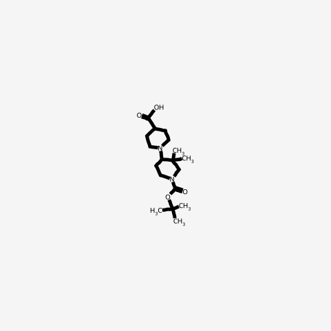 CC(C)(C)OC(=O)N1CCC(N2CCC(C(=O)O)CC2)C(C)(C)C1